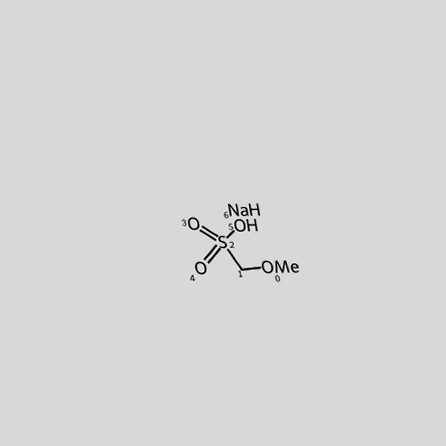 COCS(=O)(=O)O.[NaH]